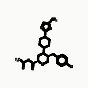 Cc1cnc(C2CCC(N3C[C@H](C(=O)OC(=O)C(F)(F)F)OC[C@@H]3Cc3ccc(Cl)cc3)CC2)o1